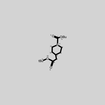 CC(C)COC(=O)N1CCC(CC(=O)OC(C)(C)C)CC1